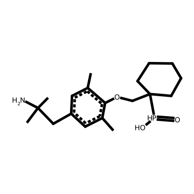 Cc1cc(CC(C)(C)N)cc(C)c1OCC1([PH](=O)O)CCCCC1